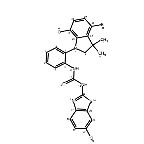 CC1(C)CN(c2ccccc2NC(=O)Nc2nc3ccc(Cl)cc3s2)c2c(O)ccc(Br)c21